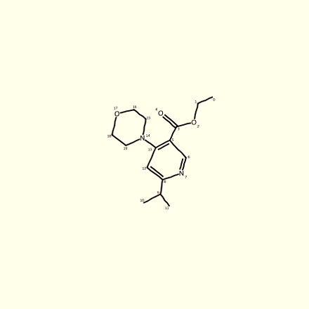 CCOC(=O)c1cnc(C(C)C)cc1N1CCOCC1